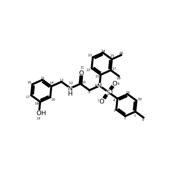 Cc1ccc(S(=O)(=O)N(CC(=O)NCc2cccc(O)c2)c2cccc(C)c2C)cc1